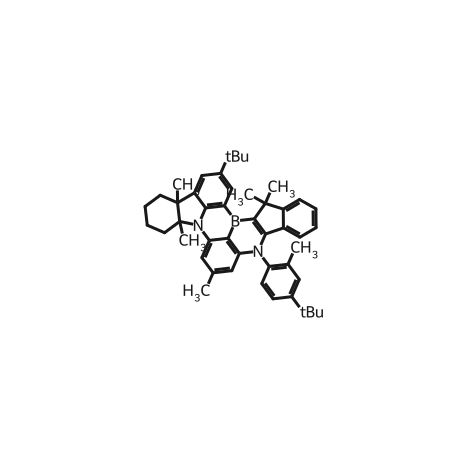 Cc1cc2c3c(c1)N1c4c(cc(C(C)(C)C)cc4C4(C)CCCCC14C)B3C1=C(c3ccccc3C1(C)C)N2c1ccc(C(C)(C)C)cc1C